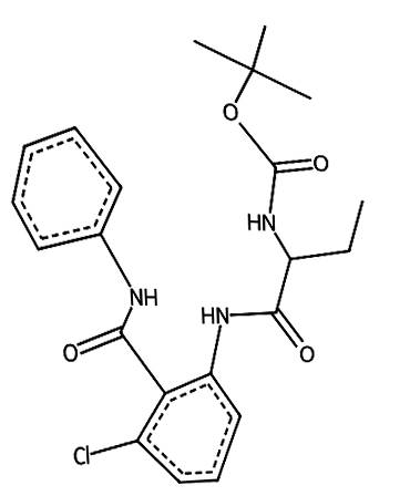 CCC(NC(=O)OC(C)(C)C)C(=O)Nc1cccc(Cl)c1C(=O)Nc1ccccc1